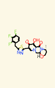 C[C@@H]1CCO[C@H]2Cn3cc(-c4nnc(Cc5ccc(F)c(F)c5F)s4)c(=O)c(O)c3C(=O)N12